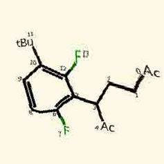 CC(=O)CCC(C(C)=O)c1c(F)ccc(C(C)(C)C)c1F